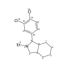 CCN1CC2CCCCC2C1c1ccc(Cl)c(Cl)c1